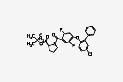 CC(C)(C)OC(=O)[C@@H]1CCCN1C(=O)c1cc(F)c(Oc2ccc(Cl)cc2-c2ccccc2)cc1F